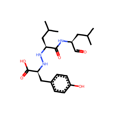 CC(C)C[C@@H](C=O)NC(=O)[C@H](CC(C)C)NN[C@@H](Cc1ccc(O)cc1)C(=O)O